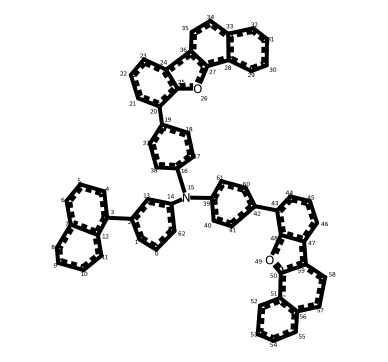 c1cc(-c2cccc3ccccc23)cc(N(c2ccc(-c3cccc4c3oc3c5ccccc5ccc43)cc2)c2ccc(-c3cccc4c3oc3c5ccccc5ccc43)cc2)c1